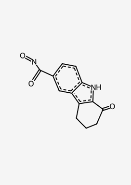 O=NC(=O)c1ccc2[nH]c3c(c2c1)CCCC3=O